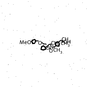 COc1ccc(COCCC[C@]2(c3ccccc3)CC(C)N([C@@H](C)c3ccc(CC(C)(C)O)cc3)C(=O)O2)cc1